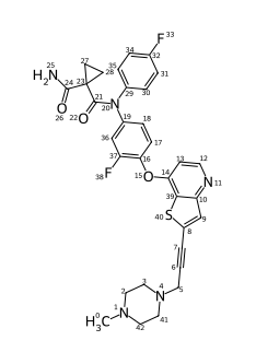 CN1CCN(CC#Cc2cc3nccc(Oc4ccc(N(C(=O)C5(C(N)=O)CC5)c5ccc(F)cc5)cc4F)c3s2)CC1